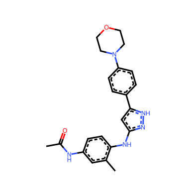 CC(=O)Nc1ccc(Nc2cc(-c3ccc(N4CCOCC4)cc3)[nH]n2)c(C)c1